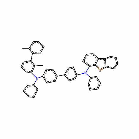 Cc1ccccc1-c1cccc(N(c2ccccc2)c2ccc(-c3ccc(N(c4ccccc4)c4cccc5c4sc4ccccc45)cc3)cc2)c1C